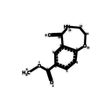 COC(=O)c1ccc2c(c1)C(=O)NCCO2